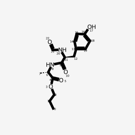 CCCOC(=O)[C@H](C)NC(=O)[C@H](Cc1ccc(O)cc1)NC=O